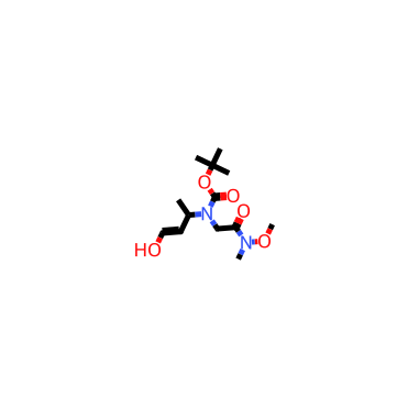 CON(C)C(=O)CN(C(=O)OC(C)(C)C)C(C)C=CO